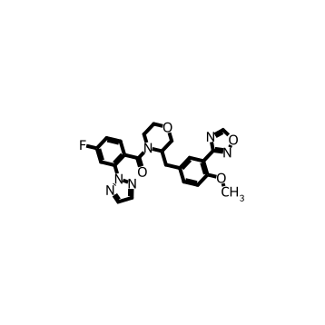 COc1ccc(CC2COCCN2C(=O)c2ccc(F)cc2-n2nccn2)cc1-c1ncon1